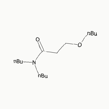 CCCCOCCC(=O)N(CCCC)CCCC